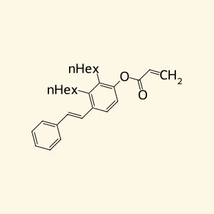 C=CC(=O)Oc1ccc(C=Cc2ccccc2)c(CCCCCC)c1CCCCCC